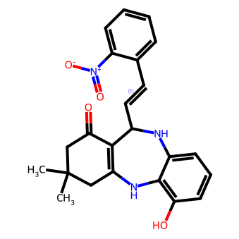 CC1(C)CC(=O)C2=C(C1)Nc1c(O)cccc1NC2/C=C/c1ccccc1[N+](=O)[O-]